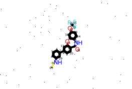 CSNc1cccc(-c2ccc3c(c2)Oc2cc(OC(F)(F)F)ccc2NC3=O)c1